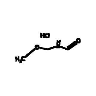 COCNC=O.Cl